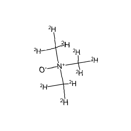 [2H]C([2H])([2H])[N+]([O-])(C([2H])([2H])[2H])C([2H])([2H])[2H]